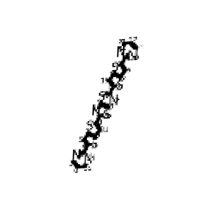 c1cnc(-c2cc3sc(-c4nc5sc(-c6cc7sc(-c8ncccn8)cc7s6)nc5s4)cc3s2)nc1